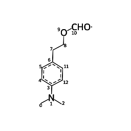 CN(C)c1ccc(CCO[C]=O)cc1